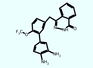 Nc1ccc(-c2cc(Cc3n[nH]c(=O)c4ccccc34)ccc2OC(F)(F)F)cc1N